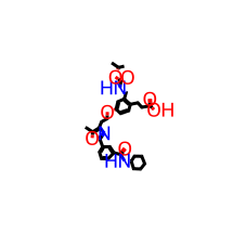 Cc1oc(-c2cccc(C(=O)NC3CCCCC3)c2)nc1CCOc1ccc(CCC(=O)O)c(CNC(=O)OC(C)C)c1